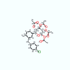 CC(=O)O[C@H]1O[C@@H](c2ccc(C)c(Cc3ccc(Cl)cc3)c2)[C@H](OC(C)=O)[C@@H](OC(C)=O)[C@@H]1OC(C)=O